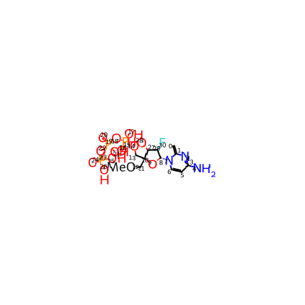 C=C1N=C(N)C=CN1[C@@H]1O[C@](COC)(COP(=O)(O)OP(=O)(O)OP(=O)(O)O)[C@@H](O)[C@H]1F